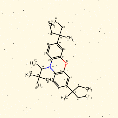 CCC(C)(CC)c1ccc2c(c1)Oc1cc(C(C)(CC)CC)ccc1N2C(C)C(C)(C)C